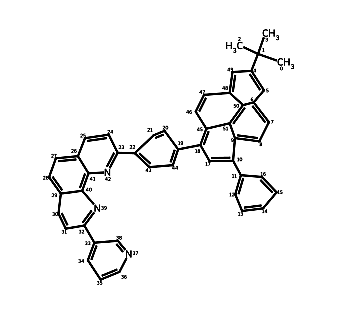 CC(C)(C)c1cc2ccc3c(-c4ccccc4)cc(-c4ccc(-c5ccc6ccc7ccc(-c8cccnc8)nc7c6n5)cc4)c4ccc(c1)c2c34